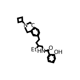 CCC(CCc1ccc2c(c1)CCN(C1CCC1)CC2)CNC(=O)c1ccccc1O